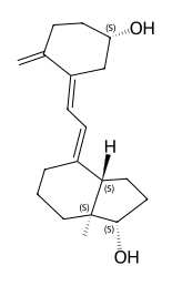 C=C1CC[C@H](O)CC1=CC=C1CCC[C@]2(C)[C@@H](O)CC[C@@H]12